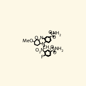 CO[C@H]1CC[C@@H](N(C)c2ccc(S(N)(=O)=O)cc2[N+](=O)[O-])CC1.NS(=O)(=O)c1ccc(F)c([N+](=O)[O-])c1